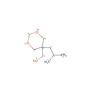 CC(C)CC1(CO)COCOC1